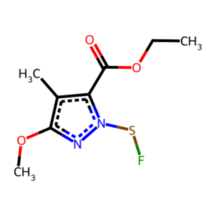 CCOC(=O)c1c(C)c(OC)nn1SF